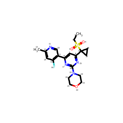 CCS(=O)(=O)C1(c2cc(-c3cnc(C)cc3F)nc(N3CCOCC3)n2)CC1